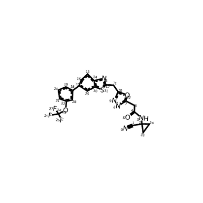 N#CC1(NC(=O)Cc2nnc(Cc3nc4ccc(-c5cccc(OC(F)(F)F)c5)cc4s3)o2)CC1